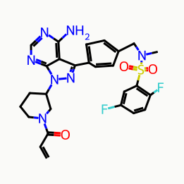 C=CC(=O)N1CCCC(n2nc(-c3ccc(CN(C)S(=O)(=O)c4cc(F)ccc4F)cc3)c3c(N)ncnc32)C1